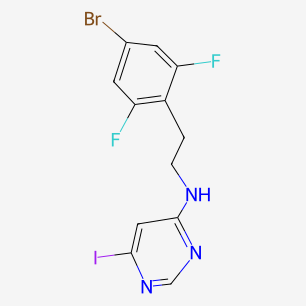 Fc1cc(Br)cc(F)c1CCNc1cc(I)ncn1